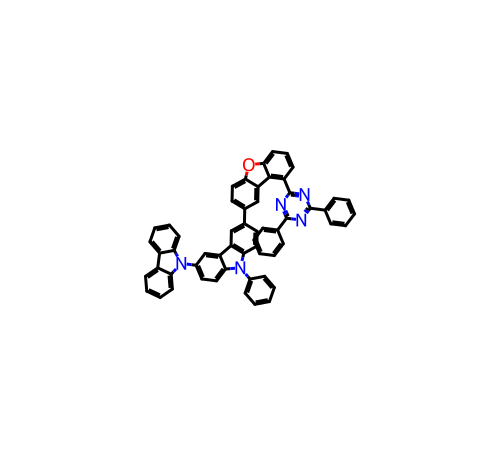 c1ccc(-c2nc(-c3ccccc3)nc(-c3cccc4oc5ccc(-c6ccc7c(c6)c6cc(-n8c9ccccc9c9ccccc98)ccc6n7-c6ccccc6)cc5c34)n2)cc1